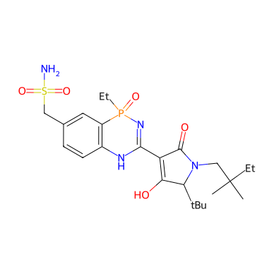 CCC(C)(C)CN1C(=O)C(C2=NP(=O)(CC)c3cc(CS(N)(=O)=O)ccc3N2)=C(O)C1C(C)(C)C